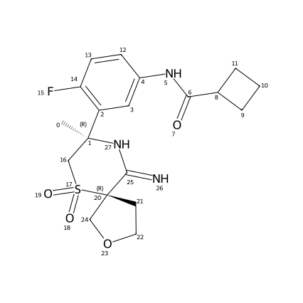 C[C@@]1(c2cc(NC(=O)C3CCC3)ccc2F)CS(=O)(=O)[C@]2(CCOC2)C(=N)N1